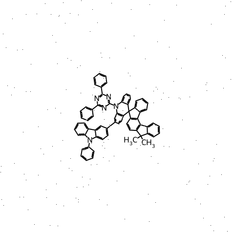 CC1(C)c2ccccc2-c2c1ccc1c2-c2ccccc2C12c1ccccc1N(c1nc(-c3ccccc3)nc(-c3ccccc3)n1)c1cc(-c3ccc4c(c3)c3ccccc3n4-c3ccccc3)ccc12